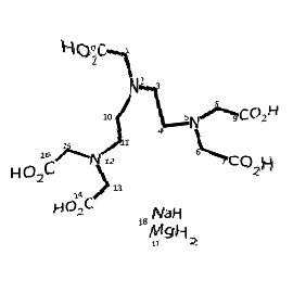 O=C(O)CN(CCN(CC(=O)O)CC(=O)O)CCN(CC(=O)O)CC(=O)O.[MgH2].[NaH]